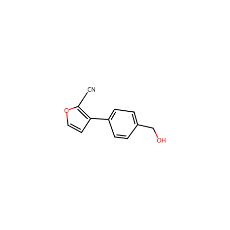 N#Cc1occc1-c1ccc(CO)cc1